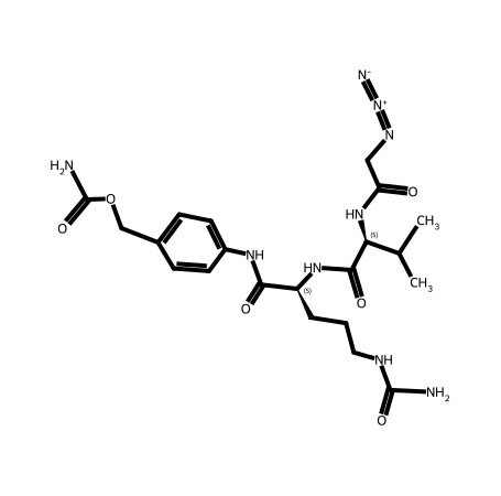 CC(C)[C@H](NC(=O)CN=[N+]=[N-])C(=O)N[C@@H](CCCNC(N)=O)C(=O)Nc1ccc(COC(N)=O)cc1